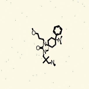 C=NCC(C)(C)CN1C[C@]2(CC[C@](c3ccccc3)(N(C)C)CC2)N(CCCOC)C1=O